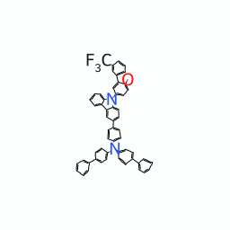 FC(F)(F)c1ccc2oc3ccc(-n4c5ccccc5c5cc(-c6ccc(N(c7ccc(-c8ccccc8)cc7)c7ccc(-c8ccccc8)cc7)cc6)ccc54)cc3c2c1